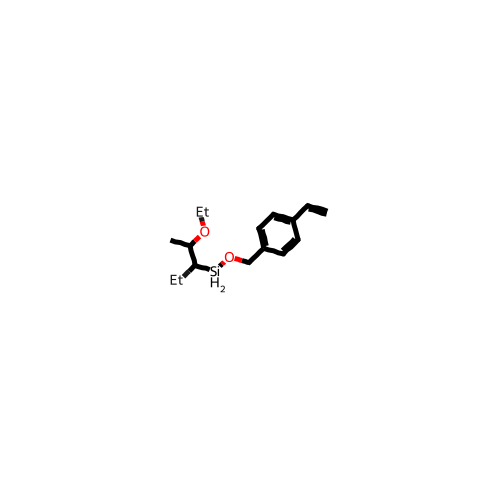 C=Cc1ccc(CO[SiH2]C(CC)C(C)OCC)cc1